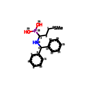 CSCCC(NC(c1ccccc1)c1ccccc1)P(O)O